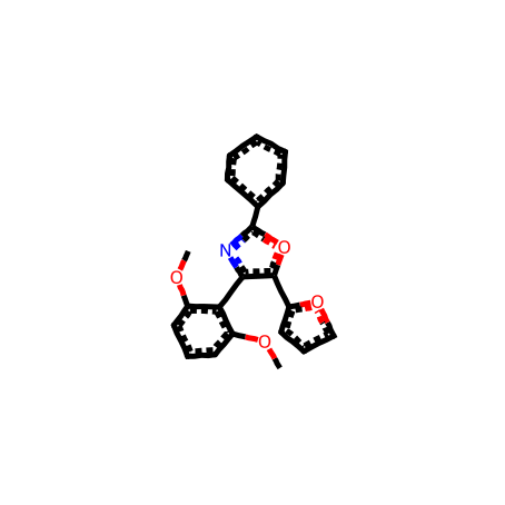 COc1cccc(OC)c1-c1nc(-c2ccccc2)oc1-c1ccco1